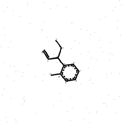 C=CC(CC)c1ccccc1C